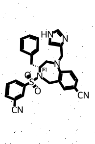 N#Cc1cccc(S(=O)(=O)N2Cc3cc(C#N)ccc3N(Cc3c[nH]cn3)C[C@H]2Cc2ccccc2)c1